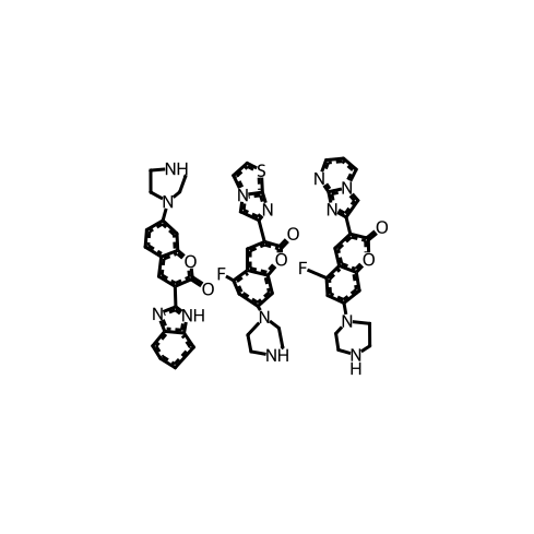 O=c1oc2cc(N3CCNCC3)cc(F)c2cc1-c1cn2cccnc2n1.O=c1oc2cc(N3CCNCC3)cc(F)c2cc1-c1cn2ccsc2n1.O=c1oc2cc(N3CCNCC3)ccc2cc1-c1nc2ccccc2[nH]1